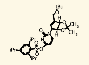 CC(C)c1cc(C(C)C)c(S(=O)(=O)Oc2ccn(C3C=C(COC(C)(C)C)[C@@H]4OC(C)(C)O[C@H]34)c(=O)n2)c(C(C)C)c1